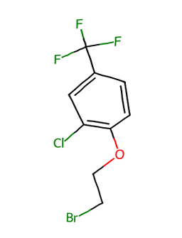 FC(F)(F)c1ccc(OCCBr)c(Cl)c1